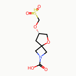 O=C(O)N1CC2(C[C@H](OC[SH](=O)=O)CO2)C1